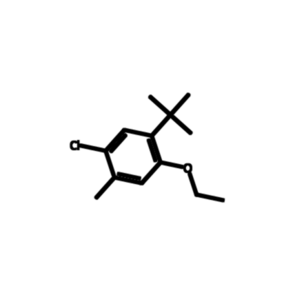 CCOc1cc(C)c(Cl)cc1C(C)(C)C